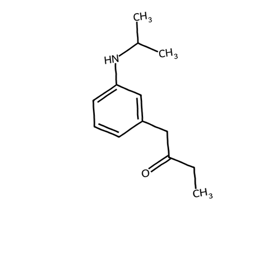 CCC(=O)Cc1cccc(NC(C)C)c1